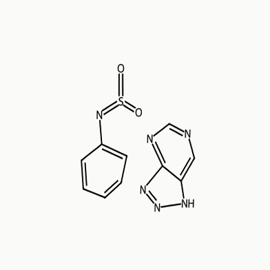 O=S(=O)=Nc1ccccc1.c1ncc2[nH]nnc2n1